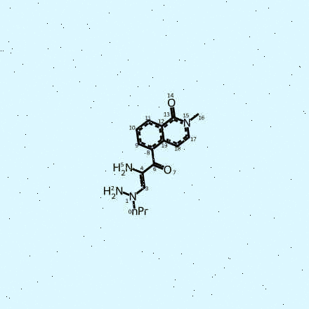 CCCN(N)/C=C(\N)C(=O)c1cccc2c(=O)n(C)ccc12